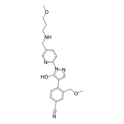 COCCCNCc1ccc(-n2ncc(-c3ccc(C#N)cc3COC)c2O)nc1